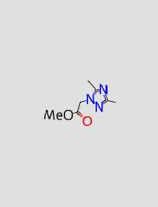 COC(=O)Cn1nc(C)nc1C